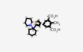 Cc1c(C(=O)O)cccc1C(=O)O.c1csc(C2(N3CCCCC3)CCCCC2)c1